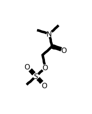 CN(C)C(=O)COS(C)(=O)=O